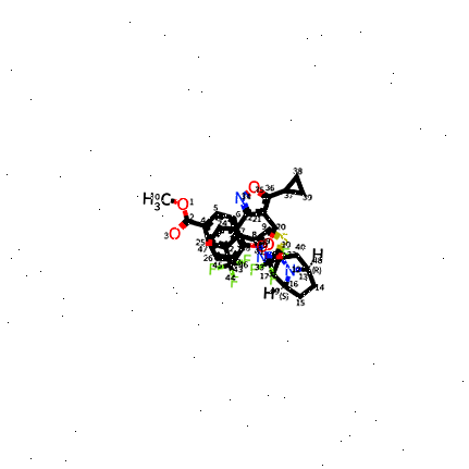 COC(=O)c1ccc(-c2csc(N3[C@@H]4CC[C@H]3C[C@H](OCc3c(-c5ccccc5OC(F)(F)F)noc3C3CC3)C4)n2)c(C(F)(F)F)c1